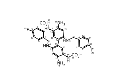 Nc1cc(NCc2ccc(F)cc2)c(-c2cc(NC(=O)O)c(N)cc2NCc2ccc(F)cc2)cc1NC(=O)O